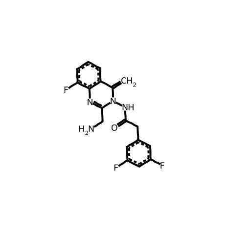 C=C1c2cccc(F)c2N=C(CN)N1NC(=O)Cc1cc(F)cc(F)c1